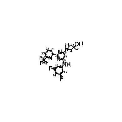 CC(C)(O)CNc1cc(Nc2cc(F)cc(F)c2)nc(-c2cccc(C(F)(F)F)n2)n1